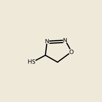 SC1CON=N1